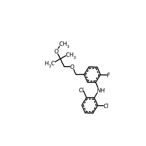 COC(C)(C)COCc1ccc(F)c(Nc2c(Cl)cccc2Cl)c1